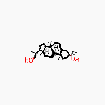 CC[C@]1(O)CC[C@@]2(C)C(=CC[C@@H]3[C@@H]2CC[C@]2(C)C([C@H](C)CO)CC[C@@H]32)C1